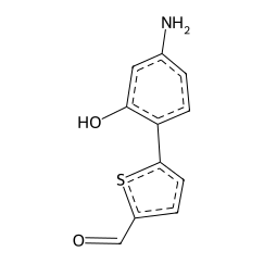 Nc1ccc(-c2ccc(C=O)s2)c(O)c1